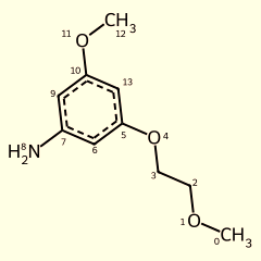 COCCOc1cc(N)cc(OC)c1